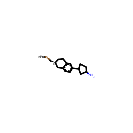 CCCSC[C@H]1CCc2cc(C3CCC(N)C3)ccc2C1